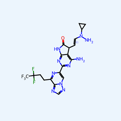 Nc1nc(-c2cn3ncnc3c(CCC(F)(F)C(F)(F)F)n2)nc2c1C(/C=C/N(N)C1CC1)C(=O)N2